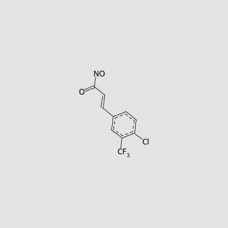 O=NC(=O)C=Cc1ccc(Cl)c(C(F)(F)F)c1